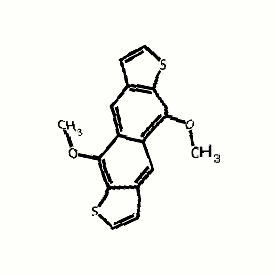 COc1c2cc3ccsc3c(OC)c2cc2ccsc12